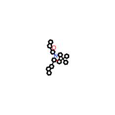 c1ccc(C2(c3ccccc3)c3ccccc3-c3c(N(c4ccc(-c5ccc6c(ccc7ccccc76)c5)cc4)c4ccc5c(c4)oc4c6ccccc6ccc54)cccc32)cc1